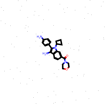 Nc1ccc(-c2c(N)c3ccc(C(=O)N4CCOCC4)cc3n2C2CCC2)cc1